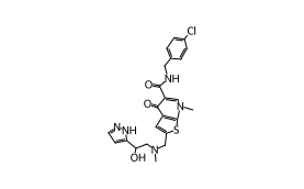 CN(Cc1cc2c(=O)c(C(=O)NCc3ccc(Cl)cc3)cn(C)c2s1)CC(O)c1ccn[nH]1